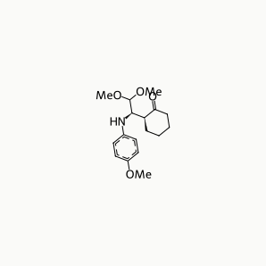 COc1ccc(N[C@@H](C(OC)OC)[C@@H]2CCCCC2=O)cc1